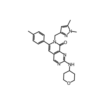 Cc1ccc(-c2cc3cnc(NC4CCOCC4)nc3c(=O)n2Cc2cc(C)n(C)n2)cc1